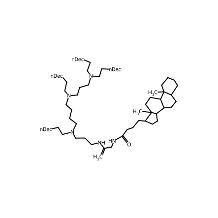 C=C(CNC(=O)CCCC1CCC2C3CCC4CCCCC4(C)C3CCC12C)NCCCN(CCCCCCCCCCCC)CCCCN(CCCCCCCCCCCC)CCCN(CCCCCCCCCCCC)CCCCCCCCCCCC